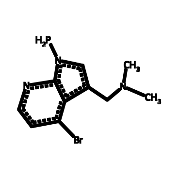 CN(C)Cc1cn(P)c2nccc(Br)c12